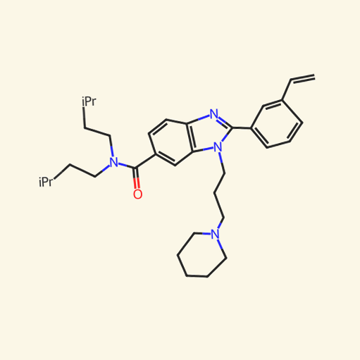 C=Cc1cccc(-c2nc3ccc(C(=O)N(CCC(C)C)CCC(C)C)cc3n2CCCN2CCCCC2)c1